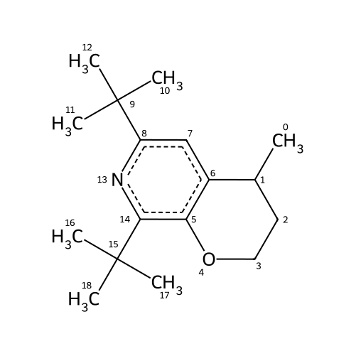 CC1CCOc2c1cc(C(C)(C)C)nc2C(C)(C)C